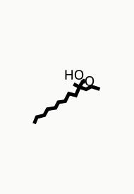 CCCCCCCCCC(C)(CCC)C(=O)O